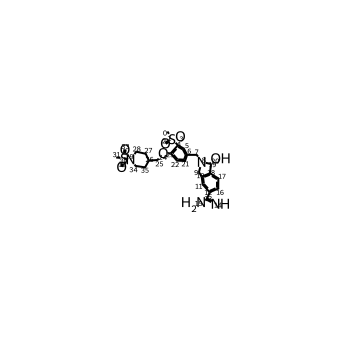 CS(=O)(=O)c1cc(CN2Cc3cc(C(=N)N)ccc3C2O)ccc1OCC1CCN(S(C)(=O)=O)CC1